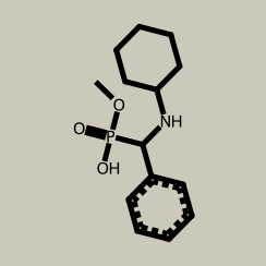 COP(=O)(O)C(NC1CCCCC1)c1ccccc1